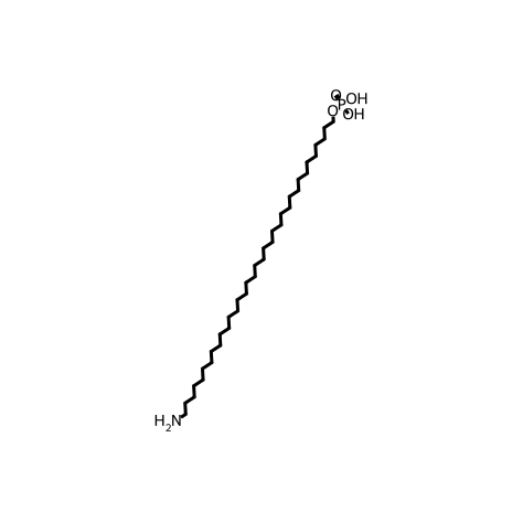 NCCCCCCCCCCCCCCCCCCCCCCCCCCCCCCCCCCCOP(=O)(O)O